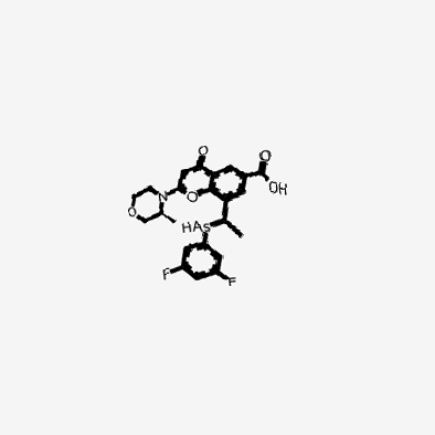 CC([AsH]c1cc(F)cc(F)c1)c1cc(C(=O)O)cc2c(=O)cc(N3CCOC[C@@H]3C)oc12